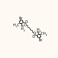 Cc1cc(Br)cc(C(=O)OCCCCCCOC(=O)c2cc(Br)cc(C)c2N)c1N